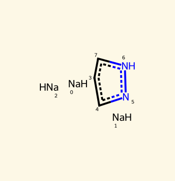 [NaH].[NaH].[NaH].c1cn[nH]c1